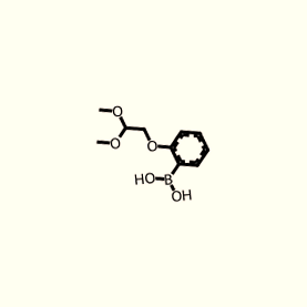 COC(COc1ccccc1B(O)O)OC